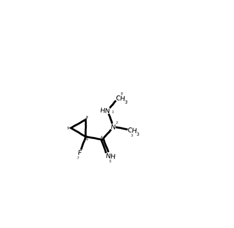 CNN(C)C(=N)C1(F)CC1